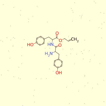 C=CCOC(=O)C(Cc1ccc(O)cc1)NC(=O)C(N)Cc1ccc(O)cc1